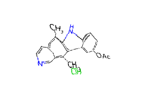 CC(=O)Oc1ccc2[nH]c3c(C)c4ccncc4c(C)c3c2c1.Cl